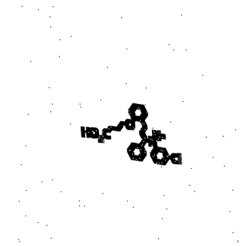 C=NN(/C(=C\Cc1ccccc1OCCCC(=O)O)c1ccccc1)c1cccc(Cl)c1